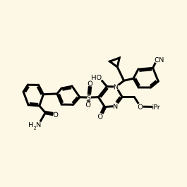 CC(C)OCc1nc(=O)c(S(=O)(=O)c2ccc(-c3ccccc3C(N)=O)cc2)c(O)n1C(c1cccc(C#N)c1)C1CC1